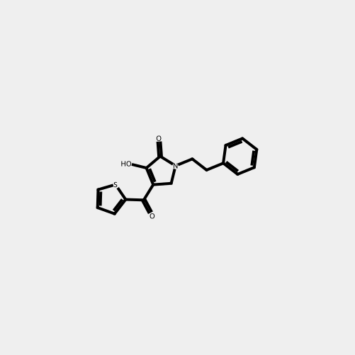 O=C(C1=C(O)C(=O)N(CCc2ccccc2)C1)c1cccs1